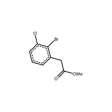 COC(=O)Cc1cccc(Cl)c1Br